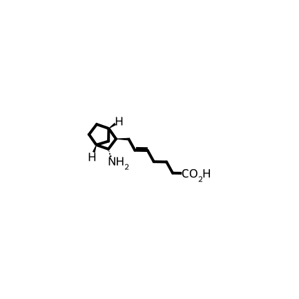 N[C@@H]1[C@@H]2CC[C@@H](C2)[C@H]1CC=CCCCC(=O)O